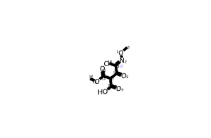 CO/N=C(\Cl)C(=O)C(C(=O)O)C(=O)OC